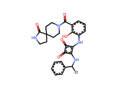 CCC(Nc1c(Nc2cccc(C(=O)N3CCC4(CCNC4=O)CC3)c2O)c(=O)c1=O)c1ccccc1